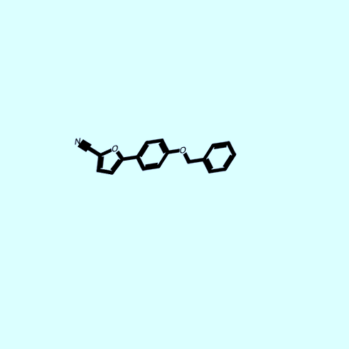 N#Cc1ccc(-c2ccc(OCc3ccccc3)cc2)o1